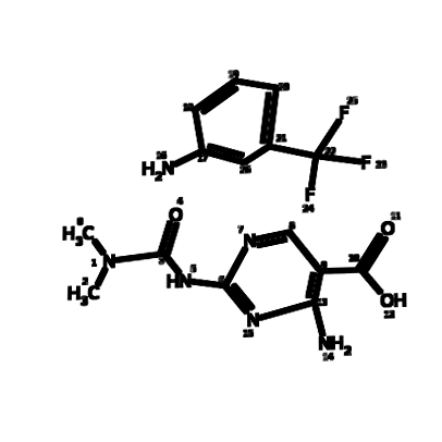 CN(C)C(=O)Nc1ncc(C(=O)O)c(N)n1.Nc1cccc(C(F)(F)F)c1